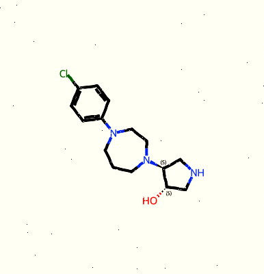 O[C@H]1CNC[C@@H]1N1CCCN(c2ccc(Cl)cc2)CC1